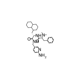 CN(C)C(Cc1ccccc1)C(=O)N[C@@H](CC1CCCC2CCCCC21)C(=O)NCc1ccc(N)nc1